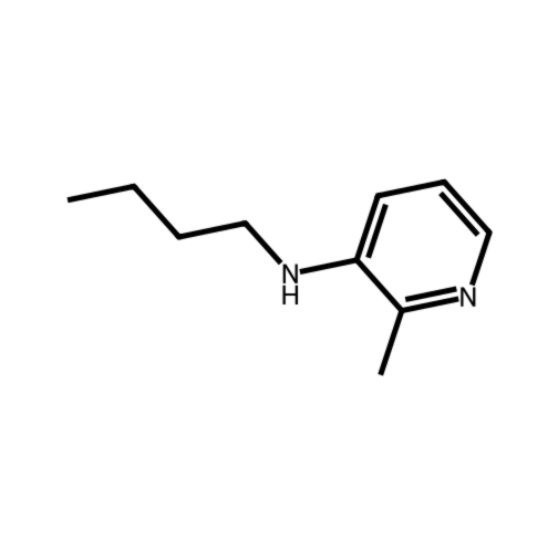 CCCCNc1cccnc1C